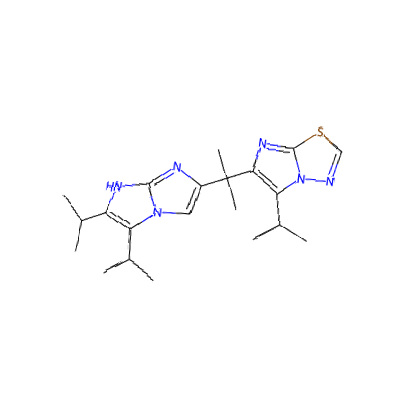 CC(C)c1[nH]c2nc(C(C)(C)c3nc4scnn4c3C(C)C)cn2c1C(C)C